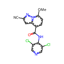 COc1ccc(C(=O)Nc2c(Cl)cncc2Cl)c2cc(C#N)nn12